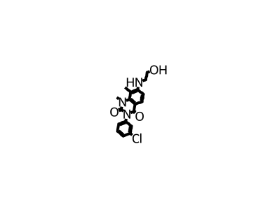 Cc1c(NCCO)ccc2c(=O)n(-c3cccc(Cl)c3)c(=O)n(C)c12